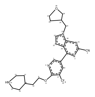 N#Cc1nc(-c2cnc(OCCC3CCNCC3)c(C(F)(F)F)c2)c2ncn(CC3CCOC3)c2n1